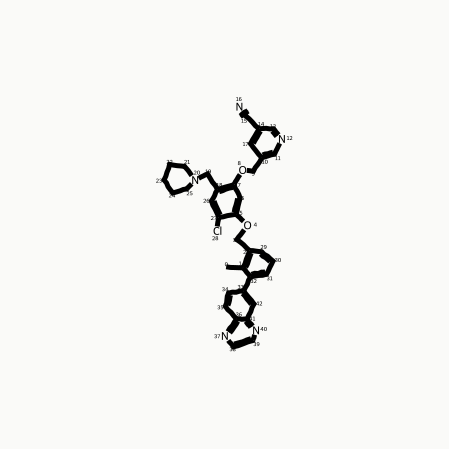 Cc1c(COc2cc(OCc3cncc(C#N)c3)c(CN3CCCCC3)cc2Cl)cccc1-c1ccc2nccnc2c1